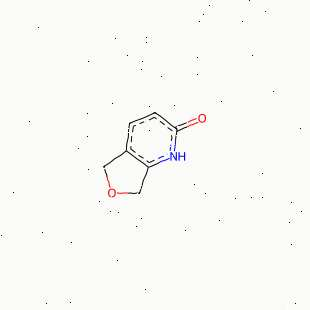 O=c1ccc2c([nH]1)COC2